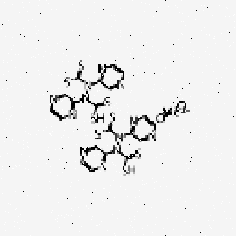 S=C([S-])N(c1cnccn1)N(C(=S)S)c1cnccn1.S=C([S-])N(c1cnccn1)N(C(=S)S)c1cnccn1.[O]=[Mo+2]=[O]